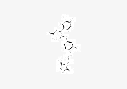 C=C(O)CC(c1ccc(Cl)c(F)c1)N(CCC)Cc1ccc(OCCN2C(=O)CCC2=O)c(Cl)c1